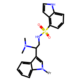 CC(C)n1cc(C(CNS(=O)(=O)c2cccc3[nH]ccc23)N(C)C)c2ccccc21